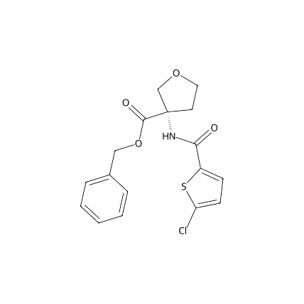 O=C(N[C@@]1(C(=O)OCc2ccccc2)CCOC1)c1ccc(Cl)s1